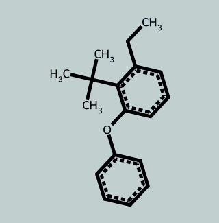 CCc1cccc(Oc2ccccc2)c1C(C)(C)C